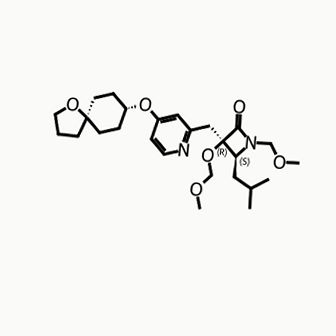 COCO[C@@]1(Cc2cc(O[C@H]3CC[C@@]4(CCCO4)CC3)ccn2)C(=O)N(COC)[C@H]1CC(C)C